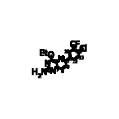 CCOc1nc(N)nc2ccc(-c3ccc(Cl)c(C(F)(F)F)c3)nc12